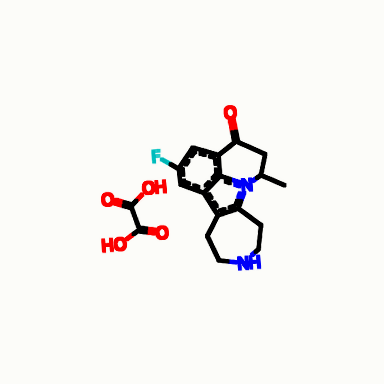 CC1CC(=O)c2cc(F)cc3c4c(n1c23)CCNCC4.O=C(O)C(=O)O